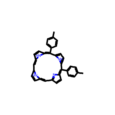 Cc1ccc(/C2=C3\C=CC(=N3)/C=C3/C=CC(/C=c4/cc/c([nH]4)=C(\c4ccc(C)cc4)c4ccc2[nH]4)N3)cc1